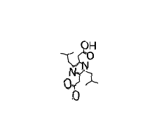 COC(=O)Cc1nc(CC(C)C)c(CC(=O)O)nc1CC(C)C